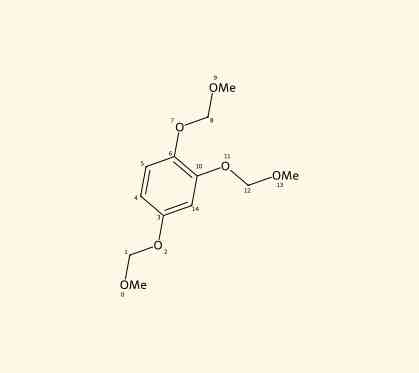 COCOc1ccc(OCOC)c(OCOC)c1